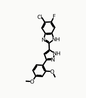 COc1ccc(-c2cc(-c3nc4cc(Cl)c(F)cc4[nH]3)[nH]n2)c(OC)c1